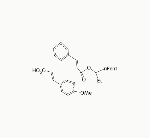 CCCCCC(CC)OC(=O)C=Cc1ccccc1.COc1ccc(C=CC(=O)O)cc1